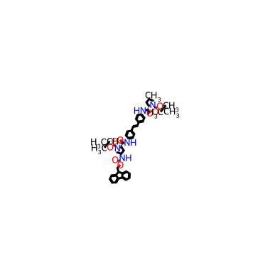 C[C@H]1C[C@@H](C(=O)Nc2ccc(/C=C/c3ccc(NC(=O)[C@@H]4C[C@H](NC(=O)OCC5c6ccccc6-c6ccccc65)CN4C(=O)OC(C)(C)C)cc3)cc2)N(C(=O)OC(C)(C)C)C1